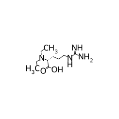 CCN(CC)[C@H](CCCNC(=N)N)C(=O)O